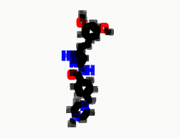 COc1cc(CCc2cc(NC(=O)c3ccc(CN4CCN(C)CC4)cc3)n[nH]2)cc(OC)c1